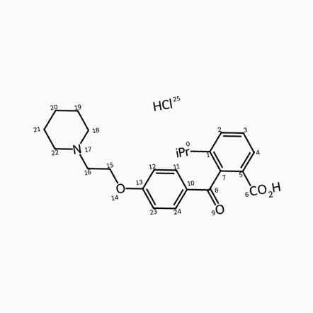 CC(C)c1cccc(C(=O)O)c1C(=O)c1ccc(OCCN2CCCCC2)cc1.Cl